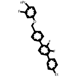 CCCc1ccc(OCc2ccc(-c3ccc(-c4ccc(CC)cc4)c(F)c3F)cc2)cc1F